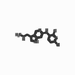 CNCc1c[nH]c2cc(Nc3ccc(Cl)nc3Cl)ncc12